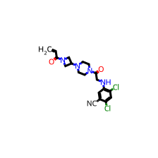 C=CC(=O)N1CC(N2CCN(C(=O)CNc3cc(C#N)c(Cl)cc3Cl)CC2)C1